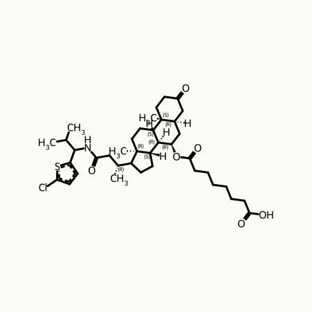 CC(C)C(NC(=O)C[C@@H](C)C1CC[C@H]2[C@@H]3[C@H](OC(=O)CCCCCCC(=O)O)C[C@@H]4CC(=O)CC[C@]4(C)[C@H]3CC[C@]12C)c1ccc(Cl)s1